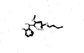 CCCCOC(=O)/C=C(/OC)C(O)C(O)c1ccccc1Cl